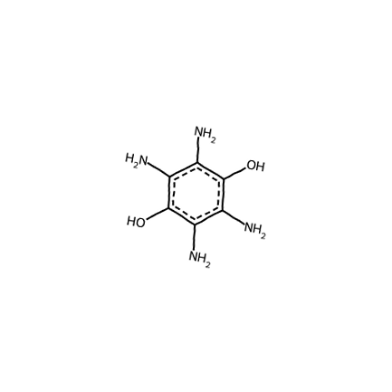 Nc1c(N)c(O)c(N)c(N)c1O